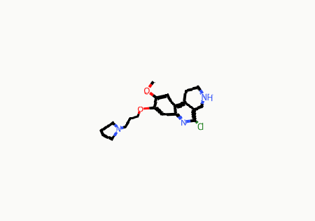 COc1cc2c3c(c(Cl)nc2cc1OCCCN1CCCC1)CNCC3